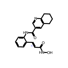 O=C(/C=C/c1ccccc1NC(=O)c1cnc2c(c1)CCCC2)NO